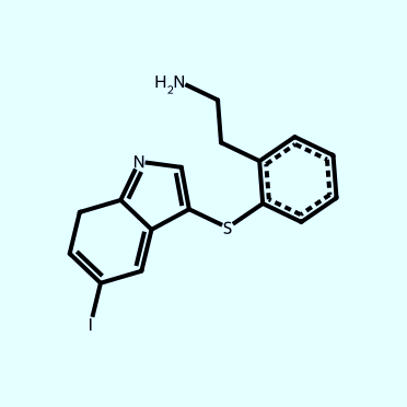 NCCc1ccccc1SC1=CN=C2CC=C(I)C=C12